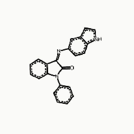 O=C1C(=Nc2ccc3[nH]ccc3c2)c2ccccc2N1c1ccccc1